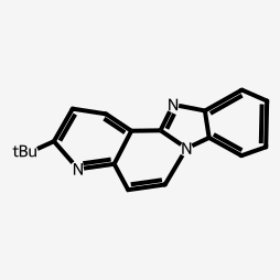 CC(C)(C)c1ccc2c(ccn3c4ccccc4nc23)n1